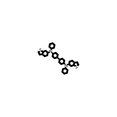 c1ccc(N(c2ccc(-c3ccc(N(c4ccccc4)c4ccc5ccsc5c4)cc3)cc2)c2ccc3ccsc3c2)cc1